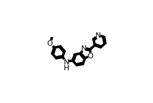 COc1ccc(Nc2ccc3oc(-c4cccnc4)nc3c2)cc1